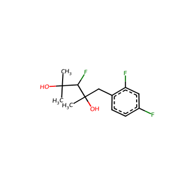 CC(C)(O)C(F)C(C)(O)Cc1ccc(F)cc1F